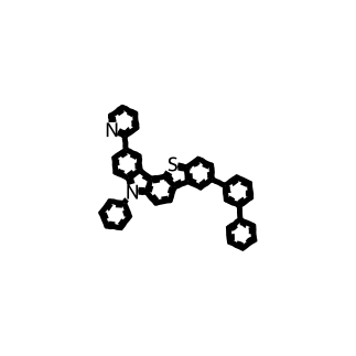 c1ccc(-c2cccc(-c3ccc4sc5c(ccc6c5c5cc(-c7ccccn7)ccc5n6-c5ccccc5)c4c3)c2)cc1